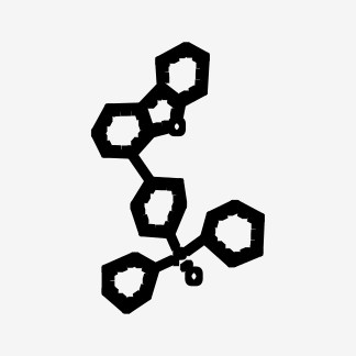 O=P(c1ccccc1)(c1ccccc1)c1ccc(-c2cccc3c2oc2ccccc23)cc1